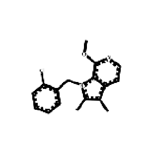 COc1nccc2c(C)c(C)n(Cc3ccccc3Cl)c12